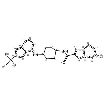 O=C(NC1CCC(Nc2cccc3nc(C(F)(F)F)cn23)CC1)c1cn2nc(Cl)ccc2n1